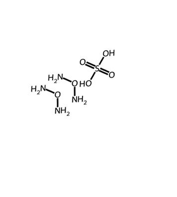 NON.NON.O=S(=O)(O)O